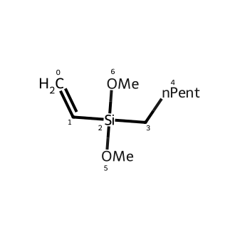 C=C[Si](CCCCCC)(OC)OC